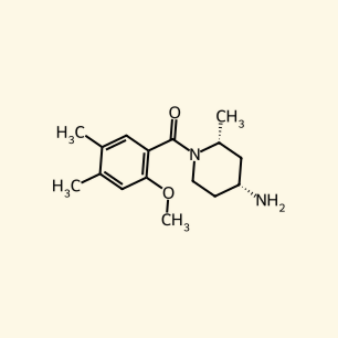 COc1cc(C)c(C)cc1C(=O)N1CC[C@@H](N)C[C@H]1C